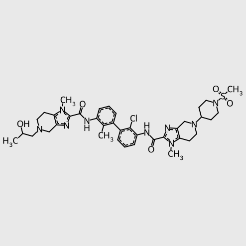 Cc1c(NC(=O)c2nc3c(n2C)CCN(CC(C)O)C3)cccc1-c1cccc(NC(=O)c2nc3c(n2C)CCN(C2CCN(S(C)(=O)=O)CC2)C3)c1Cl